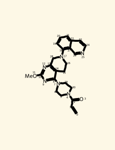 C=CC(=O)N1CCN(c2nc(OC)nc3c2CCN(c2cccc4ccncc24)C3)CC1